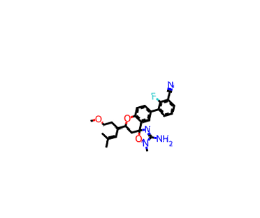 COCCC(C=C(C)C)C1CC2(N=C(N)N(C)O2)c2cc(-c3cccc(C#N)c3F)ccc2O1